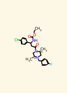 CCOC(=O)NC(CC(=O)N1C[C@H](C)N(Cc2ccc(F)cc2)C[C@H]1C)c1ccc(Cl)cc1